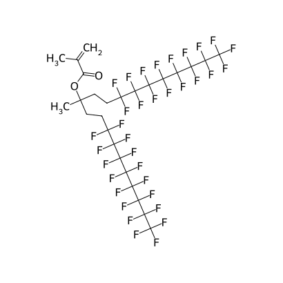 C=C(C)C(=O)OC(C)(CCC(F)(F)C(F)(F)C(F)(F)C(F)(F)C(F)(F)C(F)(F)C(F)(F)C(F)(F)F)CCC(F)(F)C(F)(F)C(F)(F)C(F)(F)C(F)(F)C(F)(F)C(F)(F)C(F)(F)F